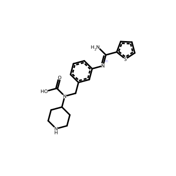 N/C(=N\c1cccc(CN(C(=O)O)C2CCNCC2)c1)c1cccs1